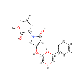 COC(=O)[C@H](CC(C)C)N1CC(OC2=COC=C(C3=CC=CCC3)O2)=CC1=O